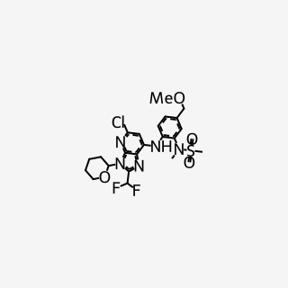 COCc1ccc(Nc2cc(Cl)nc3c2nc(C(F)F)n3C2CCCCO2)c(N(C)S(C)(=O)=O)c1